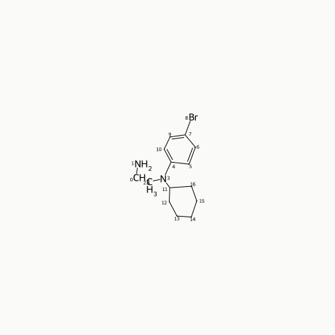 CN.CN(c1ccc(Br)cc1)C1CCCCC1